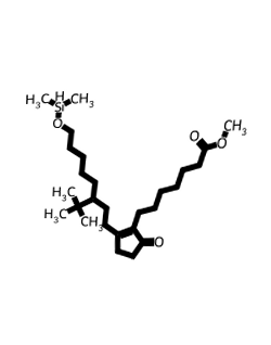 COC(=O)CCCCCCC1=C(CCC(CCCCCO[SiH](C)C)C(C)(C)C)CCC1=O